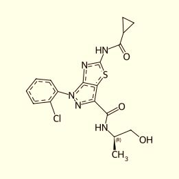 C[C@H](CO)NC(=O)c1nn(-c2ccccc2Cl)c2nc(NC(=O)C3CC3)sc12